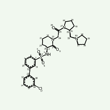 O=C1[C@@H](NS(=O)(=O)c2cccc(-c3cccc(Cl)c3)c2)CCCN1CC(=O)N1CCC[C@H]1CN1CCCC1